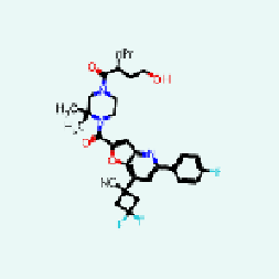 CCC[C@H](CCO)C(=O)N1CCN(C(=O)c2cc3nc(-c4ccc(F)cc4)cc(C4(C#N)CC(F)(F)C4)c3o2)C(C)(C)C1